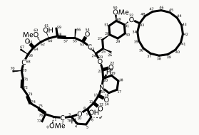 CO[C@H]1C[C@@H]2CC[C@@H](C)[C@@](O)(O2)C(=O)C(=O)N2CCCC[C@H]2C(=O)O[C@H]([C@H](C)C[C@@H]2CC[C@@H](OC3CCCCCCCCCCCCCCC3)[C@H](OC)C2)CC(=O)[C@H](C)/C=C(\C)[C@@H](O)[C@@H](OC)C(=O)[C@H](C)C[C@H](C)/C=C/C=C/C=C/1C